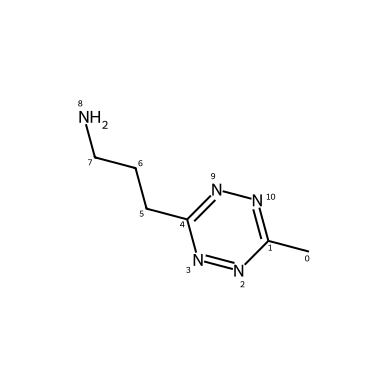 Cc1nnc(CCCN)nn1